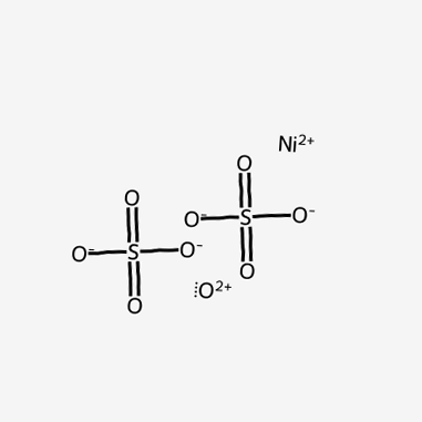 O=S(=O)([O-])[O-].O=S(=O)([O-])[O-].[Ni+2].[O+2]